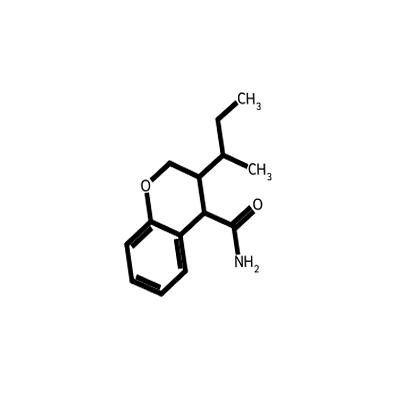 CCC(C)C1COc2ccccc2C1C(N)=O